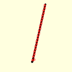 CCOCCOCCOCCOCCOCCOCCOCCOCCOCCOCCOCCOCCOCCOCCOCCOCCOCCOCCOCCOCCOCCC(=O)OCC(C)C